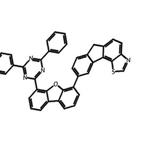 c1ccc(-c2nc(-c3ccccc3)nc(-c3cccc4c3oc3c(-c5ccc6c(c5)-c5c(ccc7ncsc57)C6)cccc34)n2)cc1